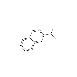 F[C](F)c1ccc2ccccc2c1